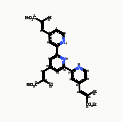 CCOC(=O)/C(=C/c1ccnc(-c2cc(/C=C(\CC)C(=O)OCC)cc(-c3cc(/C=C(\CC)C(=O)OCC)ccn3)n2)c1)CC